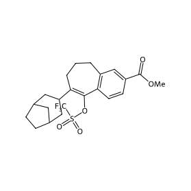 COC(=O)c1ccc2c(c1)CCCC(C1CC3CCC(C3)C1)=C2OS(=O)(=O)C(F)(F)F